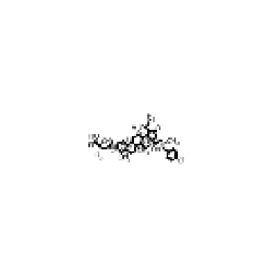 CC(C)C1=C2[C@H]3CC[C@@H]4[C@@]5(C)CC[C@H](OC(=O)CC(C)(C)C(=O)O)[C@H](C)[C@@H]5CC[C@@]4(C)[C@]3(C)CC[C@@]2([C@@H](O)CN(C)Cc2ccc(Cl)cc2)CC1=O